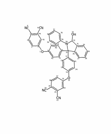 N#Cc1ccc(Oc2ccc(C3(c4ccc(Oc5ccc(C#N)c(C#N)c5)cc4)c4ccccc4C(O)N3c3ccccc3)cc2)cc1C#N